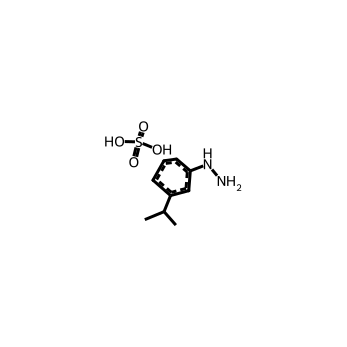 CC(C)c1cccc(NN)c1.O=S(=O)(O)O